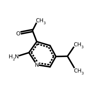 CC(=O)c1cc(C(C)C)cnc1N